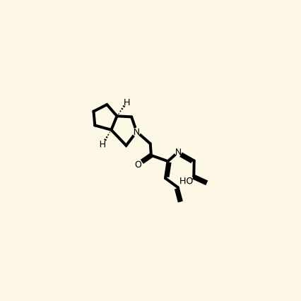 C=C/C=C(\N=C/C(=C)O)C(=O)CN1C[C@H]2CCC[C@H]2C1